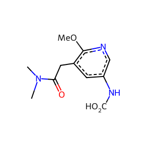 COc1ncc(NC(=O)O)cc1CC(=O)N(C)C